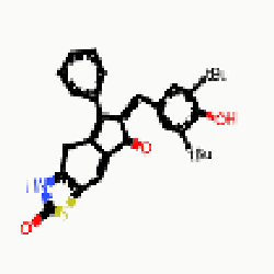 CC(C)(C)c1cc(C=C2C(=O)C3=Cc4sc(=O)[nH]c4CC3=C2c2ccccc2)cc(C(C)(C)C)c1O